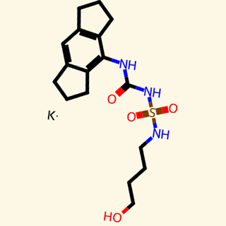 O=C(Nc1c2c(cc3c1CCC3)CCC2)NS(=O)(=O)NCCCCO.[K]